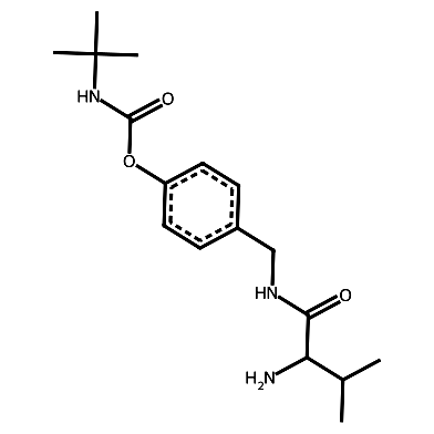 CC(C)C(N)C(=O)NCc1ccc(OC(=O)NC(C)(C)C)cc1